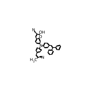 C/C(C#N)=C/c1ccc(N(c2ccc(C=C(c3ccccc3)c3ccccc3)cc2)c2ccc(/C=C(/C#N)C(=O)O)cc2)cc1